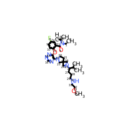 CCN(C(=O)c1cc(F)ccc1Oc1nncnc1N1CCC2(C1)CN(C(CCCNCCOC)C(C)C)C2)C(C)C